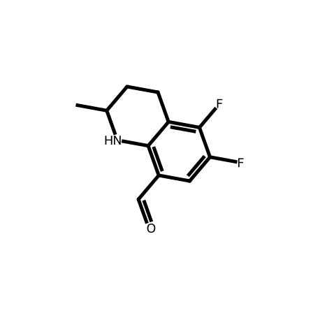 CC1CCc2c(F)c(F)cc(C=O)c2N1